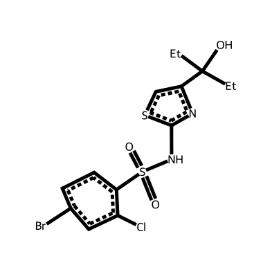 CCC(O)(CC)c1csc(NS(=O)(=O)c2ccc(Br)cc2Cl)n1